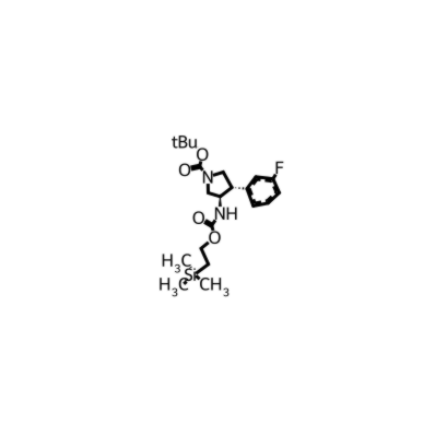 CC(C)(C)OC(=O)N1C[C@H](NC(=O)OCC[Si](C)(C)C)[C@@H](c2cccc(F)c2)C1